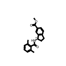 COC(=O)c1ccc2c(c1)[C@H](NC(=O)c1c(C)cccc1C)CC2